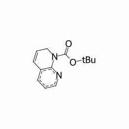 CC(C)(C)OC(=O)N1CC=Cc2cccnc21